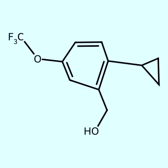 OCc1cc(OC(F)(F)F)ccc1C1CC1